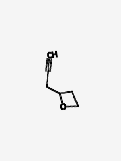 C#CCC1CCO1